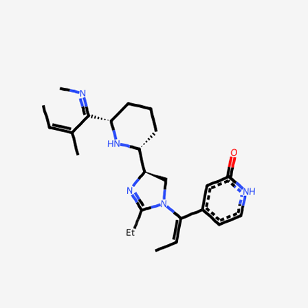 C/C=C(C)\C(=N/C)[C@@H]1CCC[C@H]([C@H]2CN(/C(=C\C)c3cc[nH]c(=O)c3)C(CC)=N2)N1